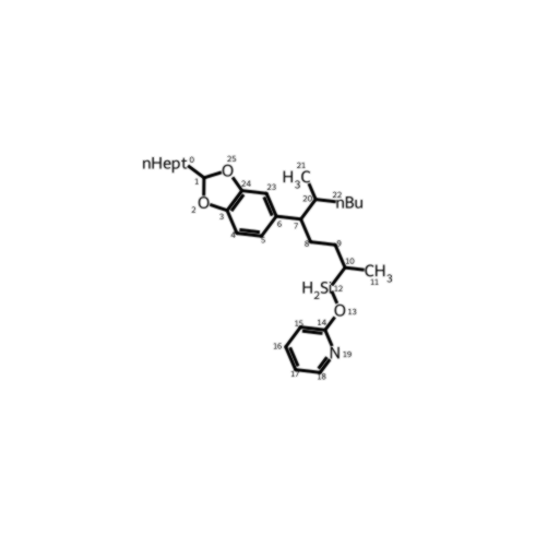 CCCCCCCC1Oc2ccc(C(CCC(C)[SiH2]Oc3ccccn3)C(C)CCCC)cc2O1